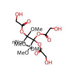 CCCCCCCCCC(OC)(OC(=O)CO)C(OC(=O)CO)(OC(=O)CO)[Si](OC)(OC)OC